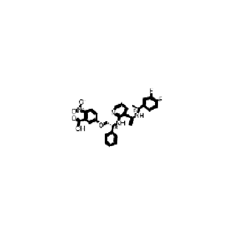 C=C(N[C@@H](C)c1ccc(F)c(F)c1)c1cccnc1N[C@@H](COc1ccc([N+](=O)[O-])c(C(=O)O)c1)c1ccccc1